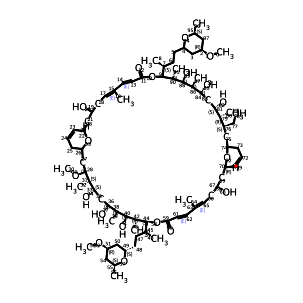 CO[C@H]1CC(CC[C@H](C)C2OC(=O)/C=C/C(C)=C/CC(O)C[C@@H]3C=CCC(C[C@H](OC)[C@@H](C)[C@@H](O)C[C@@H](O)[C@H](C)[C@H](O)[C@@H](C)[C@H]([C@@H](C)CC[C@H]4C[C@H](OC)C[C@H](C)O4)OC(=O)/C=C/C(C)=C/C[C@H](O)C[C@@H]4C=CCC(C[C@H](CO)[C@@H](C)[C@@H](O)C[C@@H](O)[C@H](C)[C@H](O)[C@H]2C)O4)O3)O[C@@H](C)C1